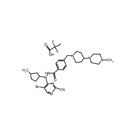 CC1CCC(N(NC(=O)c2ccc(CN3CCC(N4CCN(C)CC4)CC3)cc2)c2nc(C#N)ncc2Br)C1.O=C(O)C(F)(F)F